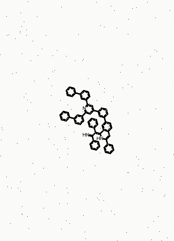 N=C(/C(=C1\NC(c2ccccc2)=Cc2ccc(-c3cccc(-c4cc(-c5cccc(-c6ccccc6)c5)nc(-c5cccc(-c6ccccc6)c5)c4)c3)cc21)c1ccccc1)c1ccccc1